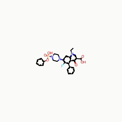 CCn1cc(C(=O)O)c(=O)c2c(-c3ccccc3)c(F)c(N3CCN(P(=O)(O)Oc4ccccc4)CC3)cc21